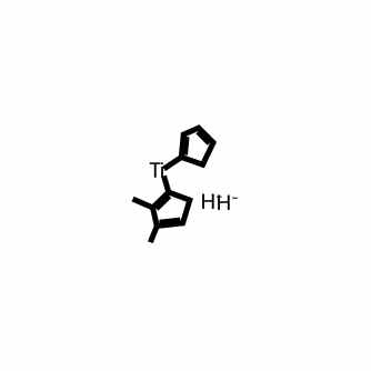 CC1=CC[C]([Ti][C]2=CC=CC2)=C1C.[H-].[H-]